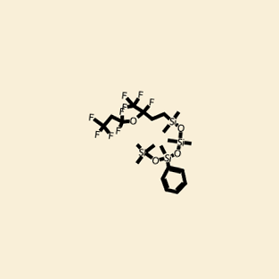 C[Si](C)(C)O[Si](C)(O[Si](C)(C)O[Si](C)(C)CCC(F)(OC(F)(F)CC(F)(F)F)C(F)(F)F)c1ccccc1